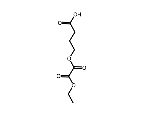 CCOC(=O)C(=O)OCCCC(=O)O